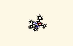 c1ccc(-c2cccc(N3c4ccccc4C4c5ccccc5-c5c(n(-c6cccc(-c7ccccc7)c6)c6ccccc56)C43)c2)cc1